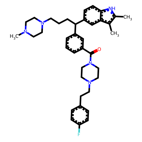 Cc1[nH]c2ccc(C(CCCN3CCN(C)CC3)c3cccc(C(=O)N4CCN(CCc5ccc(F)cc5)CC4)c3)cc2c1C